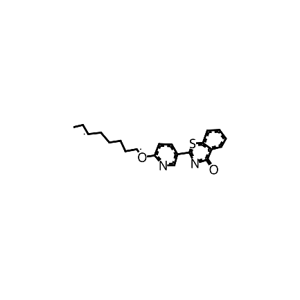 CC[CH]CCCC[CH]Oc1ccc(-c2nc(=O)c3ccccc3s2)cn1